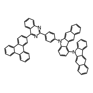 c1ccc2cc3c(cc2c1)c1ccccc1n3-c1cccc2c1c1cc3ccccc3cc1n2-c1ccc(-c2nc(-c3ccc4c5ccccc5c5ccccc5c4c3)c3ccccc3n2)cc1